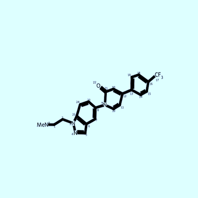 CNCCn1ncc2cc(-n3ccc(-c4ccc(C(F)(F)F)cc4)cc3=O)ccc21